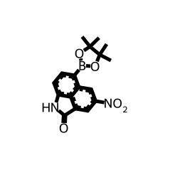 CC1(C)OB(c2ccc3c4c(cc([N+](=O)[O-])cc24)C(=O)N3)OC1(C)C